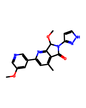 COc1cncc(-c2cc(C)c3c(n2)C(OC)N(c2cc[nH]n2)C3=O)c1